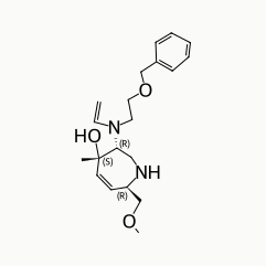 C=CN(CCOCc1ccccc1)[C@@H]1CN[C@@H](COC)C=C[C@]1(C)O